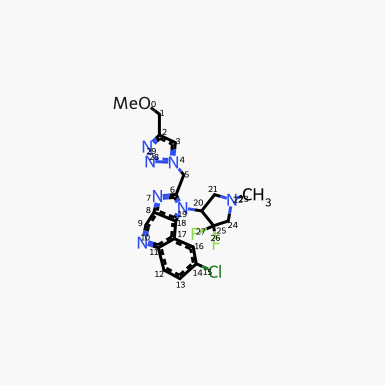 COCc1cn(Cc2nc3cnc4ccc(Cl)cc4c3n2C2CN(C)CC2(F)F)nn1